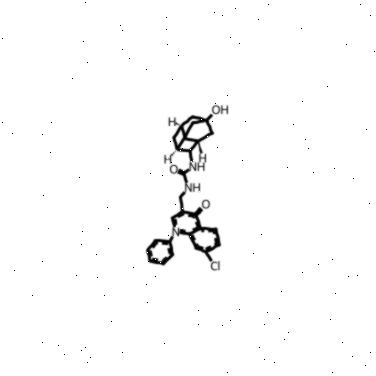 O=C(NCc1cn(-c2ccccc2)c2cc(Cl)ccc2c1=O)NC1[C@@H]2C[C@H]3C[C@H]1CC(O)(C3)C2